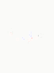 CO[C@@H]1CN(CCOC2CC(OC(F)(F)F)C2)CCC1NC(=O)COc1ccc(Cl)c(F)c1